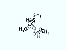 CCCC(=O)N[C@@H]1CCc2cc(SC)ccc2N(Cc2ccc(-c3ccccc3CNC(=O)NC)cc2)C1=O